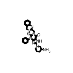 NC1CCCN(c2nc3c([nH]2)c(=O)n(CC2=Nc4ccccc4CN2)c(=O)n3-c2ccccc2)C1